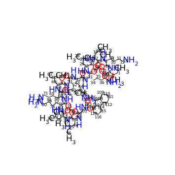 CC[C@H](C)[C@H](NC(=O)[C@H](CCCCN)NC(=O)[C@H](CC(C)C)NC(=O)[C@H](CC(C)C)NC(=O)[C@H](CCCCN)NC(=O)[C@H](CCCCN)NC(=O)[C@H](CC(C)C)NC(=O)[C@H](CC(C)C)NC(=O)[C@H](CCCCN)NC(=O)[C@H](CCCCN)NC(=O)[C@H](CC(C)C)NC(=O)[C@H](CC(C)C)NC(=O)CNC(=O)OCC1c2ccccc2-c2ccccc21)C(=O)O